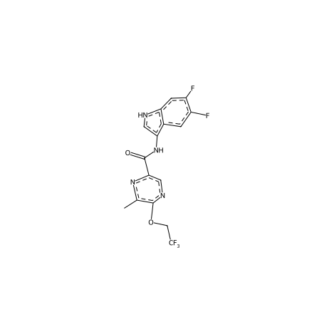 Cc1nc(C(=O)Nc2c[nH]c3cc(F)c(F)cc23)cnc1OCC(F)(F)F